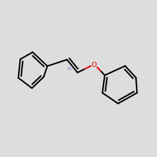 C(=C\c1ccccc1)/Oc1ccccc1